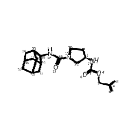 CC(C)COC(=O)N[C@@H]1CCN(C(=O)NC2C3CC4CC(C3)CC2C4)C1